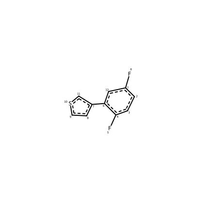 Fc1ccc(F)c(-c2ccsc2)c1